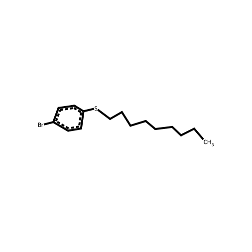 CCCCCCCCCSc1ccc(Br)cc1